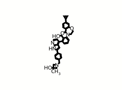 CC1(O)CN(Cc2ccc(-c3cc4c(-c5cccc(N6CCOc7cc(C8CC8)ccc7C6=O)c5CO)ccnc4[nH]3)cc2)C1